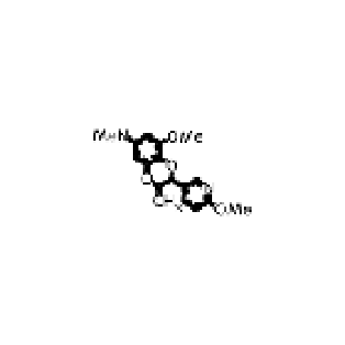 CNc1cc(OC)c2c(c1)OC(C)C(c1ccc(OC)nc1)O2